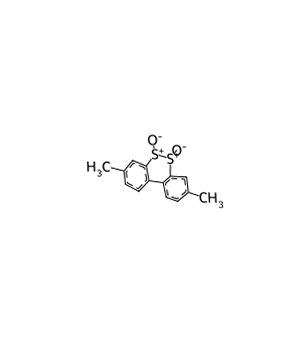 Cc1ccc2c(c1)[S+]([O-])[S+]([O-])c1cc(C)ccc1-2